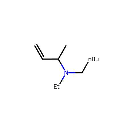 C=CC(C)N(CC)CCCCC